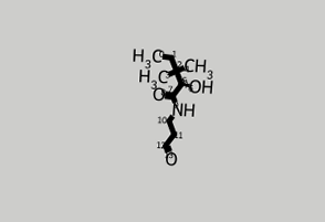 CCC(C)(C)[C@@H](O)C(=O)NCCC=O